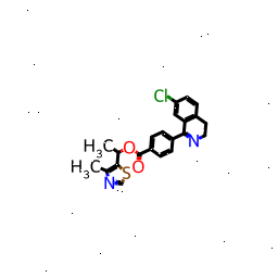 Cc1ncsc1C(C)OC(=O)c1ccc(C2=NCCc3ccc(Cl)cc32)cc1